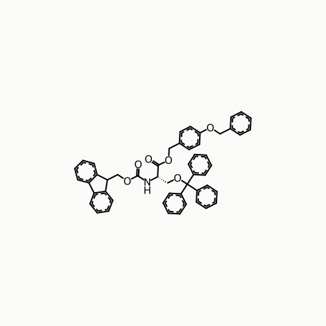 O=C(N[C@@H](COC(c1ccccc1)(c1ccccc1)c1ccccc1)C(=O)OCc1ccc(OCc2ccccc2)cc1)OCC1c2ccccc2-c2ccccc21